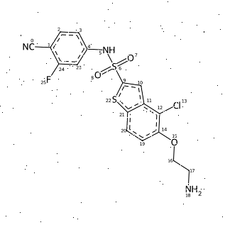 N#Cc1ccc(NS(=O)(=O)c2cc3c(Cl)c(OCCN)ccc3s2)cc1F